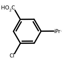 C[C](C)c1cc(Cl)cc(C(=O)O)c1